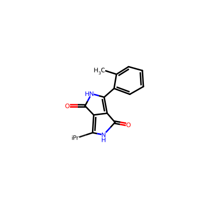 Cc1ccccc1C1=C2C(=O)NC(C(C)C)=C2C(=O)N1